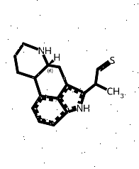 CC(C=S)c1[nH]c2cccc3c2c1C[C@H]1NCCCC31